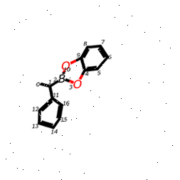 CC(B1Oc2ccccc2O1)c1ccccc1